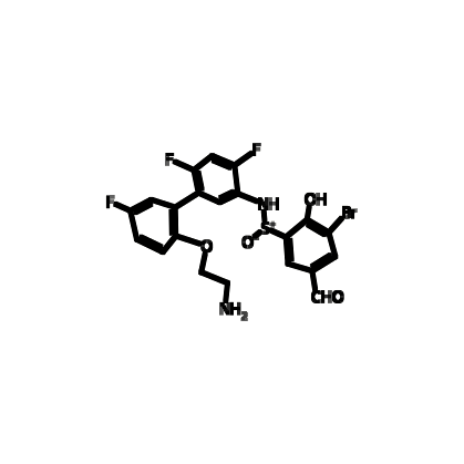 NCCOc1ccc(F)cc1-c1cc(N[S+]([O-])c2cc(C=O)cc(Br)c2O)c(F)cc1F